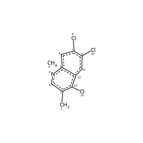 C.Cc1cnc2cc(Cl)c(Cl)cc2c1Cl